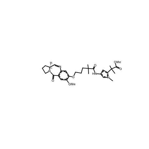 COC(=O)C(C)(C)c1cc(NC(=O)C(C)(C)CCCOc2cc3c(cc2OC)C(=O)N2CCC[C@H]2C=N3)cn1C